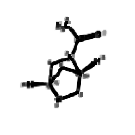 CC(=O)N1C[C@@H]2C[C@H]1C[N]2